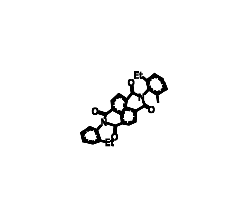 CCc1ccccc1N1C(=O)c2ccc3c4c(ccc(c24)C1=O)C(=O)N(c1c(C)cccc1CC)C3=O